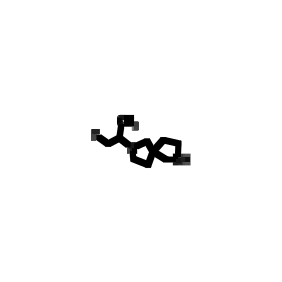 CC(CF)N1CCC2(CCNC2)C1